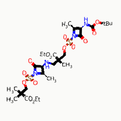 CCOC(=O)C(C)(C)COS(=O)(=O)N1C(=O)[C@@H](NCC(C)(COS(=O)(=O)N2C(=O)[C@@H](NC(=O)OC(C)(C)C)[C@@H]2C)C(=O)OCC)[C@@H]1C